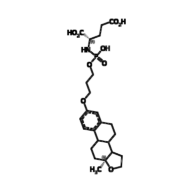 C[C@]12CCC3c4ccc(OCCCOP(=O)(O)N[C@@H](CCC(=O)O)C(=O)O)cc4CCC3C1CCO2